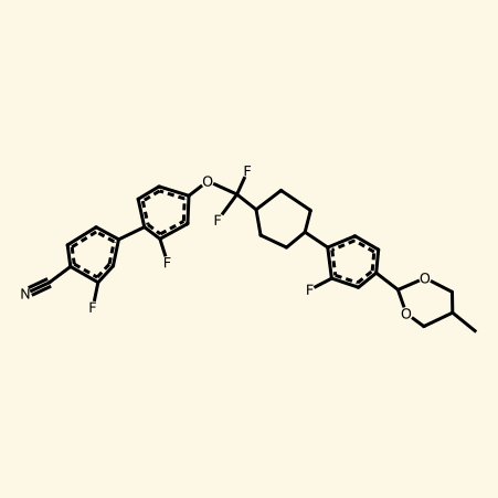 CC1COC(c2ccc(C3CCC(C(F)(F)Oc4ccc(-c5ccc(C#N)c(F)c5)c(F)c4)CC3)c(F)c2)OC1